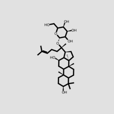 CC(C)=CCC[C@](C)(O[C@@H]1OC(CO)[C@@H](O)[C@@H](O)C1O)[C@H]1CC[C@]2(C)C1[C@H](O)CC1[C@@]3(C)CC[C@H](O)C(C)(C)C3CC[C@]12C